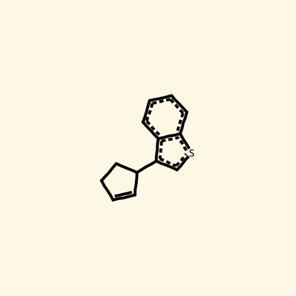 C1=CC(c2csc3ccccc23)CC1